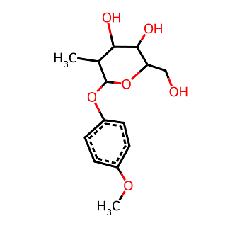 COc1ccc(OC2OC(CO)C(O)C(O)C2C)cc1